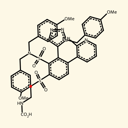 COc1ccc(CN(Cc2ccc(OC)cc2)S(=O)(=O)c2c(S(=O)(=O)CCNC(=O)O)ccc(-c3cccnc3N)c2-c2nnnn2Cc2ccc(OC)cc2)cc1